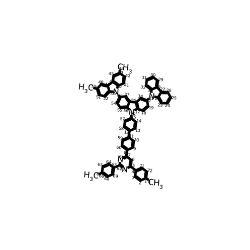 Cc1ccc(-c2cc(-c3ccc(-c4ccc(-n5c6ccc(-n7c8ccccc8c8ccccc87)cc6c6cc(-n7c8ccc(C)cc8c8cc(C)ccc87)ccc65)cc4)cc3)nc(-c3ccc(C)cc3)n2)cc1